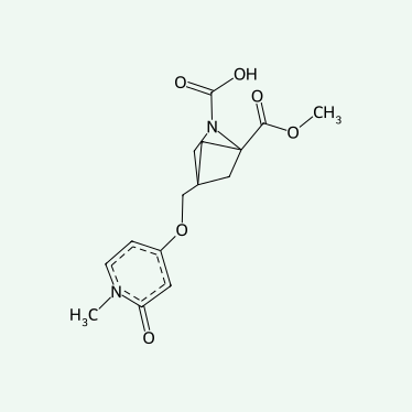 COC(=O)C12CC(COc3ccn(C)c(=O)c3)(CN1C(=O)O)C2